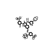 CC1(C)OB(c2cc([N+](=O)[O-])ccc2F)OC1(C)C.Cc1c(-c2cc([N+](=O)[O-])ccc2F)nc2cc(F)ccc2c1Nc1cncc(N2CCOCC2)c1